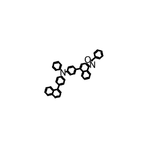 c1ccc(-c2nc3c(cc(-c4ccc(N(c5ccccc5)c5ccc(-c6cccc7ccccc67)cc5)cc4)c4ccccc43)o2)cc1